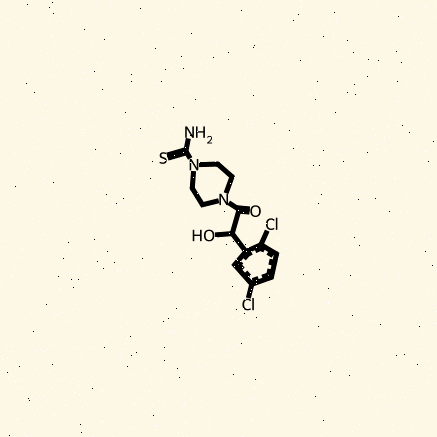 NC(=S)N1CCN(C(=O)C(O)c2cc(Cl)ccc2Cl)CC1